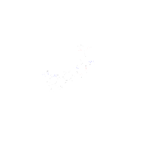 CC(C)(C)OC(=O)CCC(C(N)=O)N1Cc2cc(-c3nc(N)cc(C(F)(F)F)c3C#N)ccc2C1=O